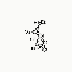 CC[N+](C)(CC)CCCOc1cc2nc(CNC(=O)C3(CC(=O)OC(C)(C)C)Cc4ccccc4C3)sc2cc1OC.[Cl-]